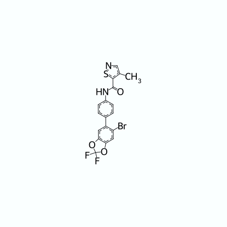 Cc1cnsc1C(=O)Nc1ccc(-c2cc3c(cc2Br)OC(F)(F)O3)cc1